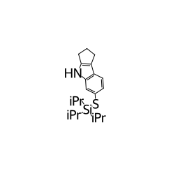 CC(C)[Si](Sc1ccc2c3c([nH]c2c1)CCC3)(C(C)C)C(C)C